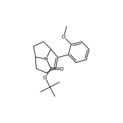 COc1ccccc1C1=CCCC2CCC1N2C(=O)OC(C)(C)C